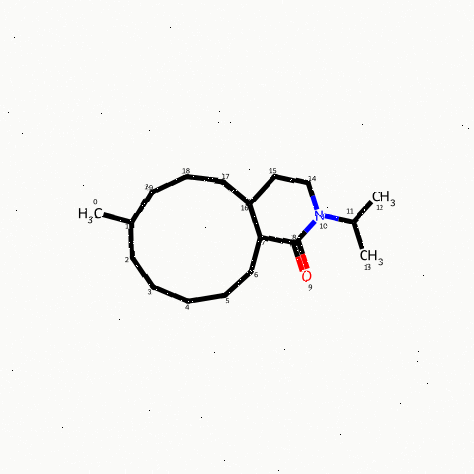 CC1CCCCCC2C(=O)N(C(C)C)CCC2CCC1